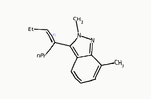 CC/C=C(\CCC)c1c2cccc(C)c2nn1C